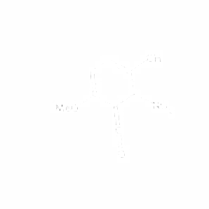 COC1=CC=C(O)C([N+](=O)[O-])C1=C=O